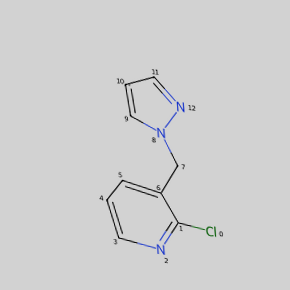 Clc1ncccc1Cn1c[c]cn1